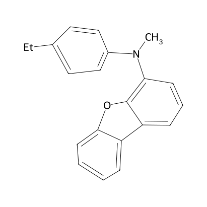 CCc1ccc(N(C)c2cccc3c2oc2ccccc23)cc1